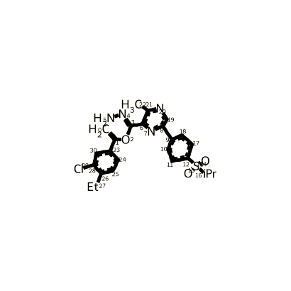 C=C(O/C(=N\N)c1nc(-c2ccc(S(=O)(=O)C(C)C)cc2)cnc1C)c1ccc(CC)c(Cl)c1